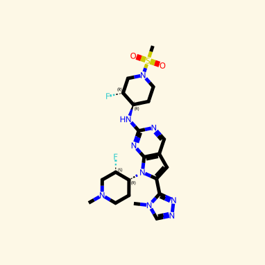 CN1CC[C@@H](n2c(-c3nncn3C)cc3cnc(N[C@@H]4CCN(S(C)(=O)=O)C[C@H]4F)nc32)[C@@H](F)C1